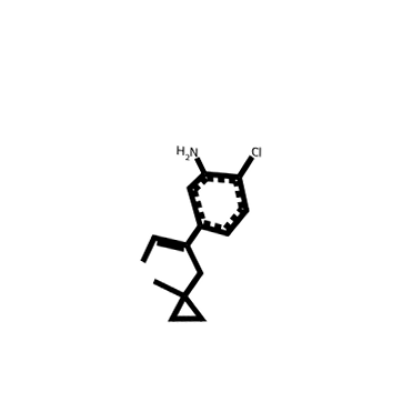 C/C=C(\CC1(C)CC1)c1ccc(Cl)c(N)c1